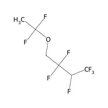 CC(F)(F)OCC(F)(F)C(F)C(F)(F)F